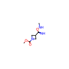 CNOC(=N)C1CN(C(=O)OC)C1